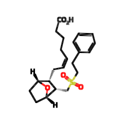 O=C(O)CCC/C=C\C[C@@H]1[C@H](CS(=O)(=O)CCc2ccccc2)[C@@H]2CC[C@H]1O2